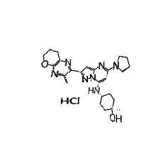 Cc1nc2c(nc1-c1cc3nc(N4CCCC4)cc(N[C@H]4CC[C@](C)(O)CC4)n3n1)CCCO2.Cl